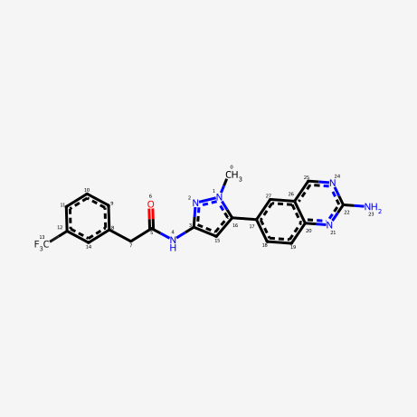 Cn1nc(NC(=O)Cc2cccc(C(F)(F)F)c2)cc1-c1ccc2nc(N)ncc2c1